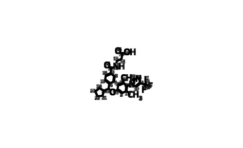 Cc1cc(OC(c2ccc(C(=O)NCCC(=O)O)cc2)C2CCCC2)cc(C)c1-n1cnc(C(F)(F)F)c1